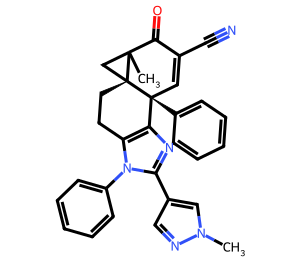 Cn1cc(-c2nc3c(n2-c2ccccc2)CC[C@@]24CC2(C)C(=O)C(C#N)=C[C@]34c2ccccc2)cn1